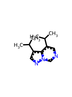 CC(C)c1cncn2ncc(C(C)C)c12